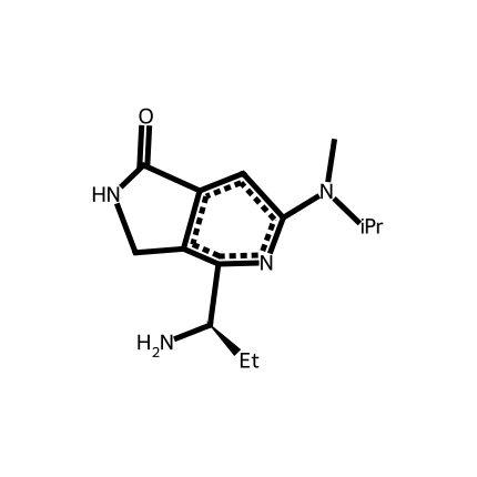 CC[C@@H](N)c1nc(N(C)C(C)C)cc2c1CNC2=O